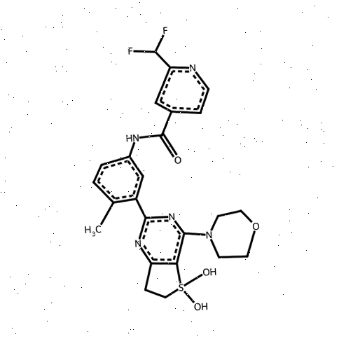 Cc1ccc(NC(=O)c2ccnc(C(F)F)c2)cc1-c1nc2c(c(N3CCOCC3)n1)S(O)(O)CC2